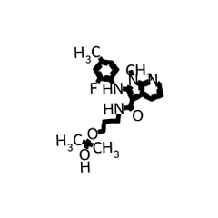 Cc1ccc(Nc2c(C(=O)NCCCOC(C)(C)O)c3cccnc3n2C)c(F)c1